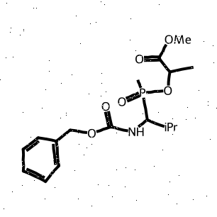 COC(=O)C(C)OP(C)(=O)C(NC(=O)OCc1ccccc1)C(C)C